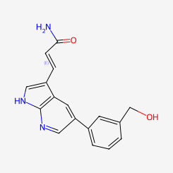 NC(=O)/C=C/c1c[nH]c2ncc(-c3cccc(CO)c3)cc12